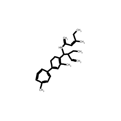 C=CC(CC)C(NC(=C)/C=C(/C)CC)C1=C(C)C=C(C2=CC=C(C)C=C=C2)CC1